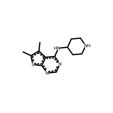 Cc1sc2ncnc(NC3CCNCC3)c2c1C